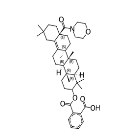 CC1(C)CC[C@]2(C(=O)N3CCOCC3)CC[C@]3(C)C(=C2C1)CC[C@@H]1[C@@]2(C)CCC(OC(=O)c4ccccc4C(=O)O)C(C)(C)[C@@H]2CC[C@]13C